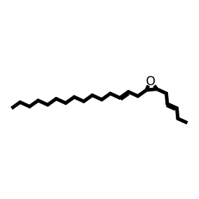 CCC=CCC1OC1CC=CCCCCCCCCCCCC